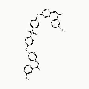 CC(C=C1C=CC(Oc2ccc(S(=O)(=O)c3ccc(OC4C=CC(=CC(C)c5cccc(N)c5)C=C4)cc3)cc2)C=C1)c1cccc(N)c1